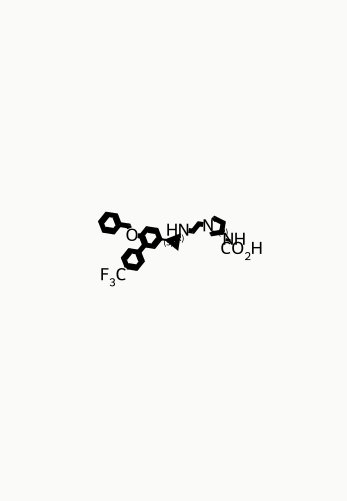 O=C(O)N[C@@H]1CCN(CCN[C@@H]2C[C@H]2c2ccc(OCc3ccccc3)c(-c3ccc(C(F)(F)F)cc3)c2)C1